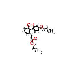 C=CCOC(=O)CCc1cccc(O)c1-c1ccc(OCC=C)cc1